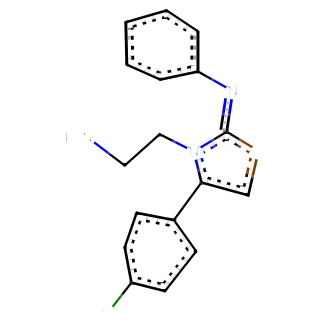 NCCn1c(-c2ccc(Br)cc2)cs/c1=N/c1ccccc1